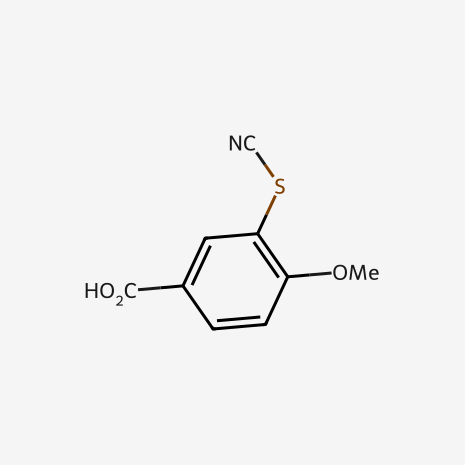 COc1ccc(C(=O)O)cc1SC#N